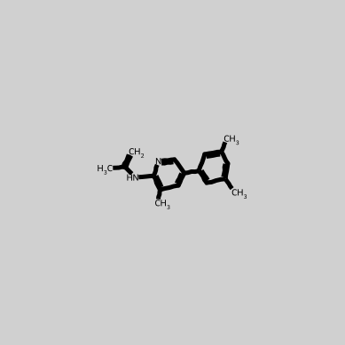 C=C(C)Nc1ncc(-c2cc(C)cc(C)c2)cc1C